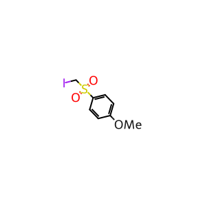 COc1ccc(S(=O)(=O)CI)cc1